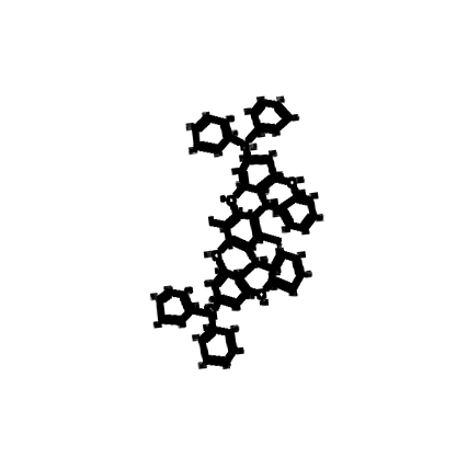 Cc1c2c(c(C)c3c1Oc1cc(N(c4ccccc4)c4ccccc4)cc4c1B3c1ccccc1O4)B1c3ccccc3Oc3cc(N(c4ccccc4)c4ccccc4)cc(c31)O2